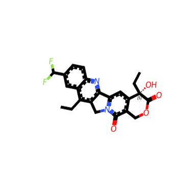 CCc1c2c(nc3ccc(C(F)F)cc13)-c1cc3c(c(=O)n1C2)COC(=O)[C@]3(O)CC